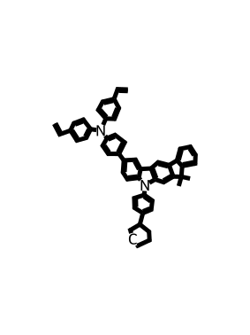 C=Cc1ccc(N(c2ccc(C=C)cc2)c2ccc(-c3ccc4c(c3)c3cc5c(cc3n4-c3ccc(C4CCCCC4)cc3)C(C)(C)c3ccccc3-5)cc2)cc1